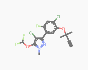 C#CC(C)(C)Oc1cc(-c2nn(C)c(OC(F)F)c2Cl)c(F)cc1Cl